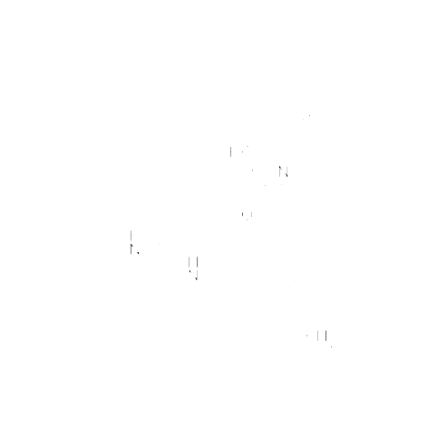 C=CCOc1cc(CNCC2CCNC2)cc(OCC(=O)Nc2ccccc2O)c1